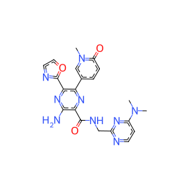 CN(C)c1ccnc(CNC(=O)c2nc(-c3ccc(=O)n(C)c3)c(-c3ncco3)nc2N)n1